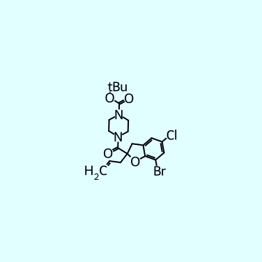 C=CCC1(C(=O)N2CCN(C(=O)OC(C)(C)C)CC2)Cc2cc(Cl)cc(Br)c2O1